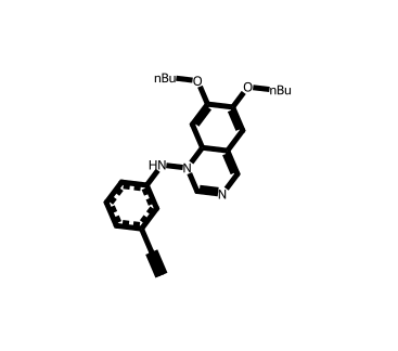 C#Cc1cccc(NN2C=NC=C3C=C(OCCCC)C(OCCCC)=CC32)c1